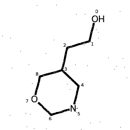 OCCC1C[N]COC1